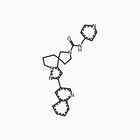 O=C(Nc1ccncc1)N1CCC2(CCCn3nc(-c4cnc5ccccc5c4)cc32)C1